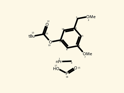 CCCC.COCc1cc(OC)cc(OC(=O)C(C)(C)C)c1.O=PO